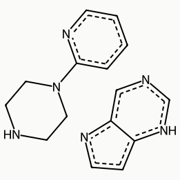 c1cc2[nH]cncc-2n1.c1ccc(N2CCNCC2)nc1